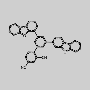 N#Cc1ccc(-c2cc(-c3ccc4c(c3)oc3ccccc34)cc(-c3cccc4c3oc3ccccc34)c2)c(C#N)c1